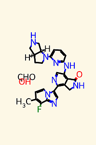 Cc1ccn2c(-c3ncc(Nc4cccc(N5CC[C@@H]6CNC[C@@H]65)n4)c4c3CNC4=O)cnc2c1F.O=CO